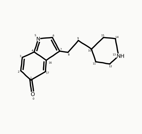 O=C1C=CC2=NC=C(CCC3CCNCC3)C2=C1